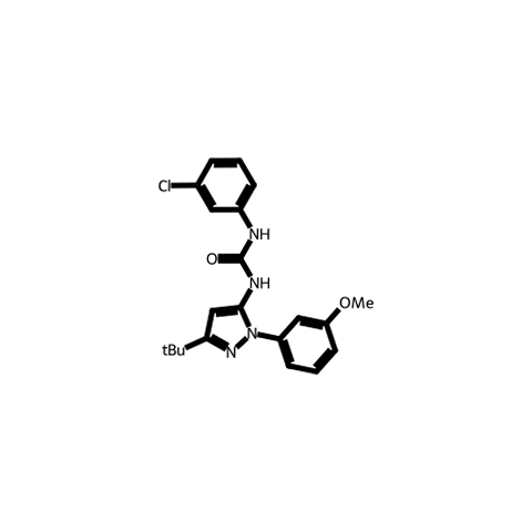 COc1cccc(-n2nc(C(C)(C)C)cc2NC(=O)Nc2cccc(Cl)c2)c1